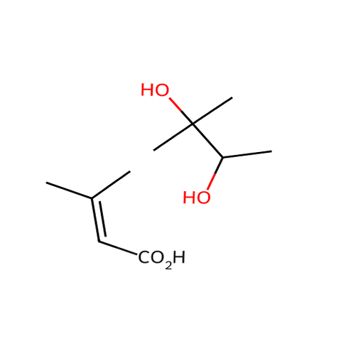 CC(C)=CC(=O)O.CC(O)C(C)(C)O